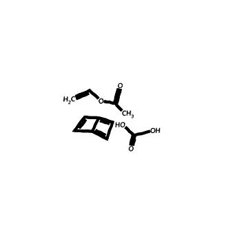 C=COC(C)=O.O=C(O)O.c1cc2ccc1-2